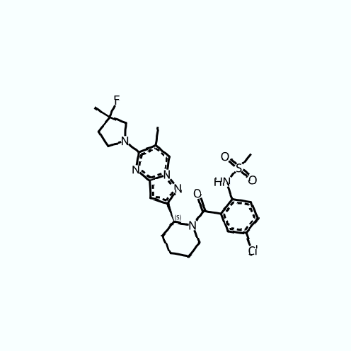 Cc1cn2nc([C@@H]3CCCCN3C(=O)c3cc(Cl)ccc3NS(C)(=O)=O)cc2nc1N1CCC(C)(F)C1